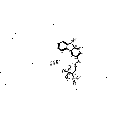 CCn1c2ccccc2c2cc(CCCC(P(=O)([O-])[O-])S(=O)(=O)[O-])ccc21.[K+].[K+].[K+]